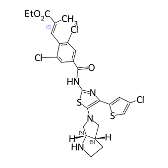 CCOC(=O)/C(C)=C/c1c(Cl)cc(C(=O)Nc2nc(-c3cc(Cl)cs3)c(N3C[C@@H]4CCN[C@@H]4C3)s2)cc1Cl